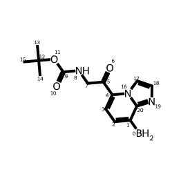 Bc1ccc(C(=O)CNC(=O)OC(C)(C)C)n2ccnc12